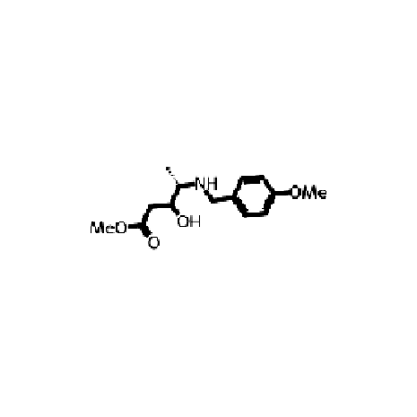 COC(=O)CC(O)[C@H](C)NCc1ccc(OC)cc1